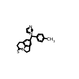 Cc1ccc(C(c2cc3c4c(c2)CCN4C(=S)CC3)n2ccnc2)cc1